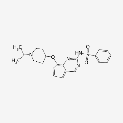 CC(C)N1CCC(Oc2cccc3cnc(NS(=O)(=O)c4ccccc4)nc23)CC1